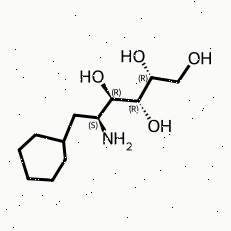 N[C@@H](CC1CCCCC1)[C@@H](O)[C@@H](O)[C@H](O)CO